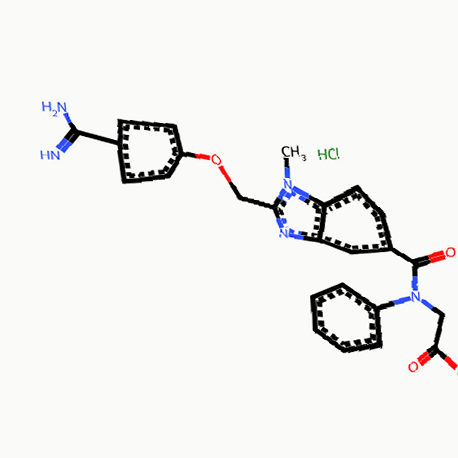 Cl.Cn1c(COc2ccc(C(=N)N)cc2)nc2cc(C(=O)N(CC(=O)O)c3ccccc3)ccc21